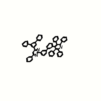 c1ccc(-c2cc(-c3ccccc3)cc(-c3cc(-c4ccccc4)nc(-c4cccc(-c5cccc(-c6c(-c7ccccc7)c(-c7ccccc7)nc(-c7ccccc7)c6-c6ccccc6)c5)c4)n3)c2)cc1